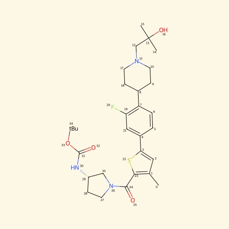 Cc1cc(-c2ccc(C3CCN(CC(C)(C)O)CC3)c(F)c2)sc1C(=O)N1CC[C@H](NC(=O)OC(C)(C)C)C1